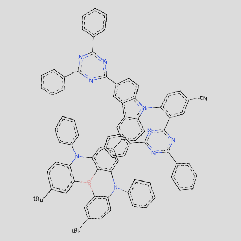 CC(C)(C)c1ccc2c(c1)B1c3cc(C(C)(C)C)ccc3N(c3ccccc3)c3cc(-c4ccc5c(c4)c4cc(-c6nc(-c7ccccc7)nc(-c7ccccc7)n6)ccc4n5-c4ccc(C#N)cc4-c4nc(-c5ccccc5)nc(-c5ccccc5)n4)cc(c31)N2c1ccccc1